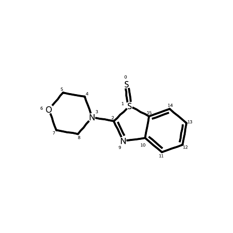 S=S1C(N2CCOCC2)=Nc2ccccc21